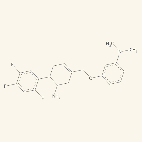 CN(C)c1cccc(OCC2=CCC(c3cc(F)c(F)cc3F)C(N)C2)c1